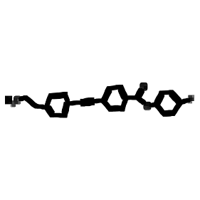 CCCc1ccc(C#Cc2ccc(C(=O)Oc3ccc(F)cc3)cc2)cc1